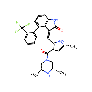 Cc1cc(C(=O)N2C[C@H](C)N[C@@H](C)C2)c(/C=C2\C(=O)Nc3cccc(-c4ccccc4C(F)(F)F)c32)[nH]1